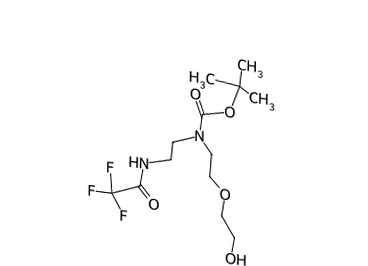 CC(C)(C)OC(=O)N(CCNC(=O)C(F)(F)F)CCOCCO